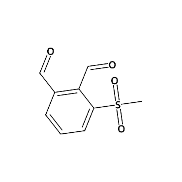 CS(=O)(=O)c1cccc(C=O)c1C=O